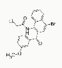 COc1cccc(C(=O)c2cc(Br)c3ccccc3c2NC(=O)CCl)c1